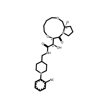 [C-]#[N+]c1ccccc1N1CCC(CNC(=O)[C@H](O)[C@H]2OCCCCOC[C@H]3CCCN3C2=O)CC1